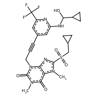 Cn1c(=O)c2c(nc(S(=O)(=O)CC3CC3)n2C)n(CC#Cc2cc(NC(O)C3CC3)nc(C(F)(F)F)c2)c1=O